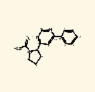 O=C(O)N1CCCC1c1cc(-c2ccccc2)ncn1